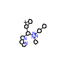 CC1(C)c2ccccc2-c2cc(-c3cc(-c4ccc5ccc6cccnc6c5n4)cc(-c4nc(-c5ccccc5)nc(-c5ccc(-c6ccccc6)cc5)n4)c3)ccc21